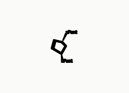 CCCCC[C@H]1C=C[C@@H](CCCCC)C1